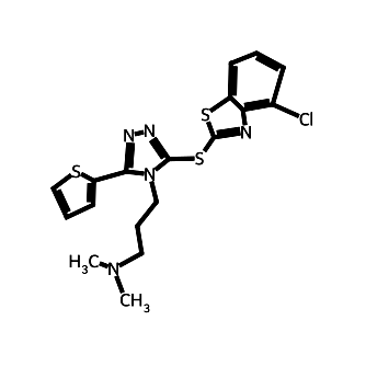 CN(C)CCCn1c(Sc2nc3c(Cl)cccc3s2)nnc1-c1cccs1